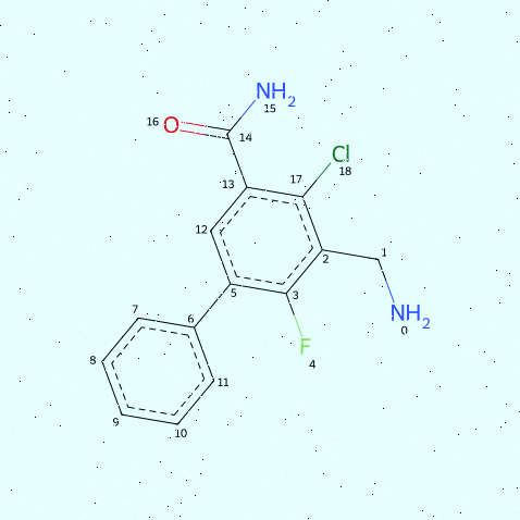 NCc1c(F)c(-c2ccccc2)cc(C(N)=O)c1Cl